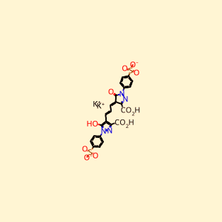 O=C(O)C1=NN(c2ccc(S(=O)(=O)[O-])cc2)C(=O)/C1=C/C=C/c1c(C(=O)O)nn(-c2ccc(S(=O)(=O)[O-])cc2)c1O.[K+].[K+]